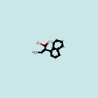 CC=C(C(=O)O)c1cccc2ccccc12